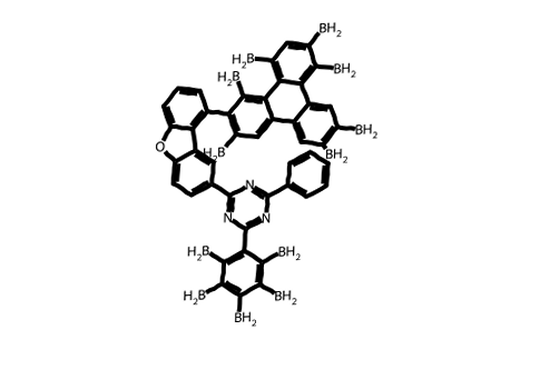 Bc1cc2c(cc1B)c1c(B)c(B)cc(B)c1c1c(B)c(-c3cccc4oc5ccc(-c6nc(-c7ccccc7)nc(-c7c(B)c(B)c(B)c(B)c7B)n6)cc5c34)c(B)cc21